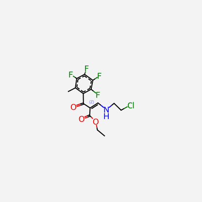 CCOC(=O)/C(=C\NCCCl)C(=O)c1c(C)c(F)c(F)c(F)c1F